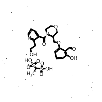 CC(S(=O)(=O)O)S(=O)(=O)O.O=Cc1c(O)cccc1OCC1COCCN1C(=O)c1cccnc1CCO